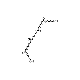 O=C(CSCSCC[S+]([O-])CSCSCSC(=O)CSCSCC(=O)SCCSCO)SCCSCO